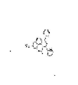 CC(C)(C)c1cc2ccc3c(-c4ccccc4)cc(-c4ccccn4)c4ccc(c1)c2c34